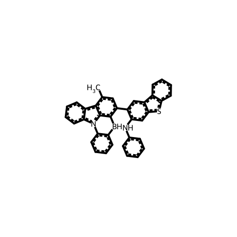 Cc1cc(-c2cc3c(cc2Nc2ccccc2)sc2ccccc23)c2c3c1c1ccccc1n3-c1ccccc1B2